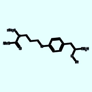 CCCCCCCN(CCCOc1ccc(CC(OCC)C(=O)O)cc1)C(=O)OC